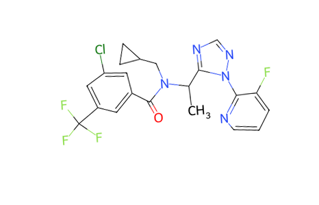 CC(c1ncnn1-c1ncccc1F)N(CC1CC1)C(=O)c1cc(Cl)cc(C(F)(F)F)c1